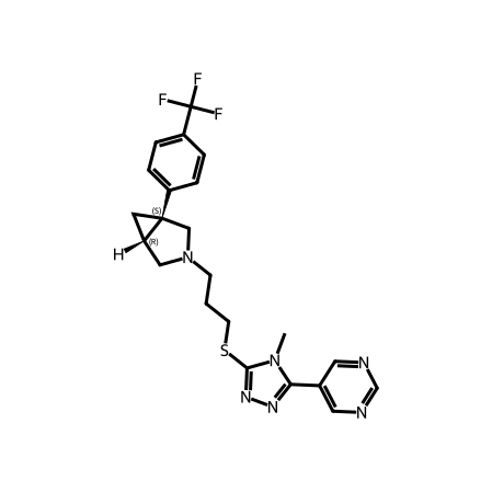 Cn1c(SCCCN2C[C@@H]3C[C@]3(c3ccc(C(F)(F)F)cc3)C2)nnc1-c1cncnc1